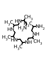 CC(N)CNC(C)CNC(C)CNC(C)CNC(C)CNC(C)CN